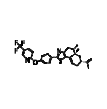 C=C(C)[C@@H]1CC=C2c3sc(-c4ccc(Oc5ccc(C(F)(F)F)cn5)cc4)nc3C[C@@H](C)[C@]2(C)C1